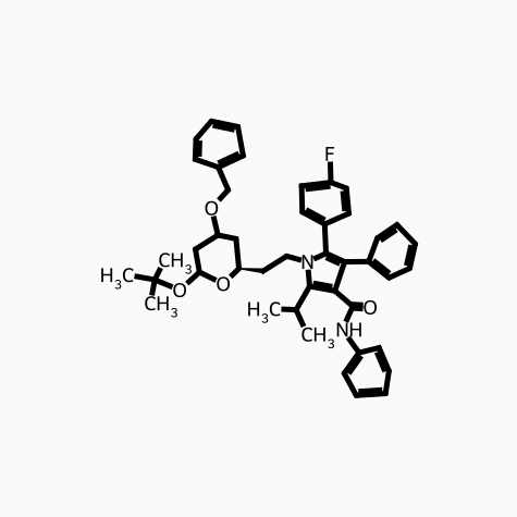 CC(C)c1c(C(=O)Nc2ccccc2)c(-c2ccccc2)c(-c2ccc(F)cc2)n1CC[C@@H]1CC(OCc2ccccc2)CC(OC(C)(C)C)O1